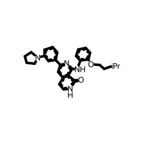 CC(C)CCOc1ccccc1Nc1nc(-c2cccc(N3CCCC3)c2)cc2cc[nH]c(=O)c12